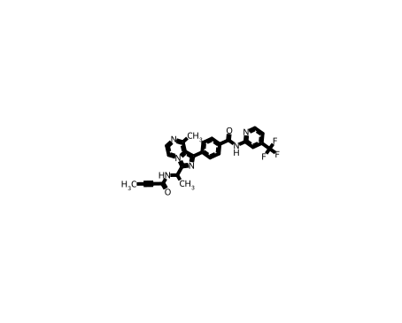 CC#CC(=O)NC(C)c1nc(-c2ccc(C(=O)Nc3cc(C(F)(F)F)ccn3)cc2)c2c(C)nccn12